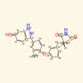 CCCc1cc(-c2n[nH]c3cc(O)ccc23)ccc1Oc1cccc(C[C@@]2(C)OC(=O)NC2=O)c1